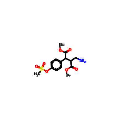 CC(C)OC(=O)C(CN)C(C(=O)OC(C)(C)C)c1ccc(OS(C)(=O)=O)cc1